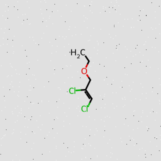 [CH2]COCC(Cl)=CCl